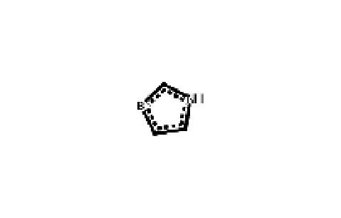 b1cc[nH]c1